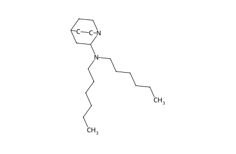 CCCCCCN(CCCCCC)C1CC2CCN1CC2